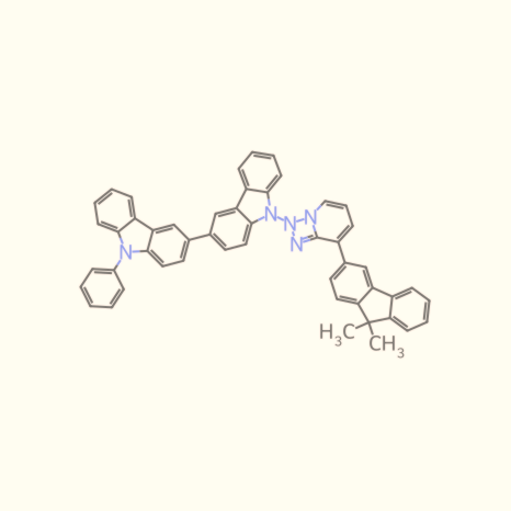 CC1(C)c2ccccc2-c2cc(-c3cccn4c3nn4-n3c4ccccc4c4cc(-c5ccc6c(c5)c5ccccc5n6-c5ccccc5)ccc43)ccc21